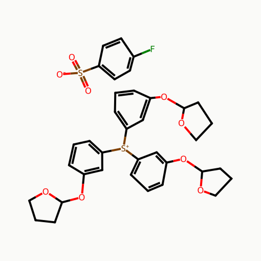 O=S(=O)([O-])c1ccc(F)cc1.c1cc(OC2CCCO2)cc([S+](c2cccc(OC3CCCO3)c2)c2cccc(OC3CCCO3)c2)c1